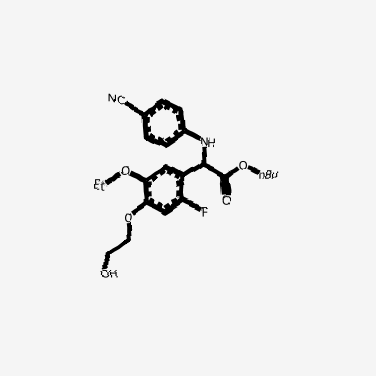 CCCCOC(=O)C(Nc1ccc(C#N)cc1)c1cc(OCC)c(OCCO)cc1F